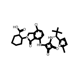 Cc1ccc([C@H](Nc2c(Nc3ccc(Cl)c4c3C(=O)N(C3CCCC[C@H]3C(=O)O)C4)c(=O)c2=O)C(C)(C)C)o1